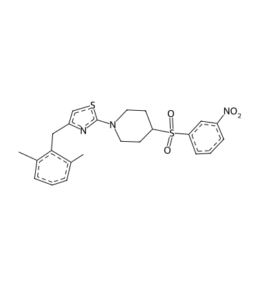 Cc1cccc(C)c1Cc1csc(N2CCC(S(=O)(=O)c3cccc([N+](=O)[O-])c3)CC2)n1